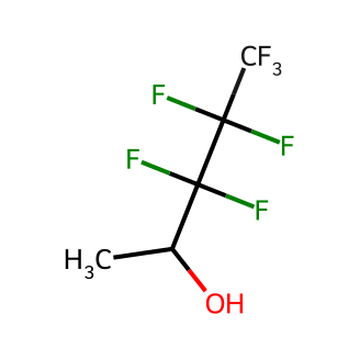 CC(O)C(F)(F)C(F)(F)C(F)(F)F